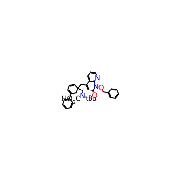 CC(C)(C)N(CC1(Cc2cc(=O)n(OCc3ccccc3)c3ncccc23)C=CC=C(c2ccccc2)C1)C(=O)O